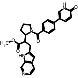 COC(=O)C(Cc1cc2ccncc2[nH]1)C1CCCN1C(=O)c1ccc(-c2ccc(=O)[nH]c2)cc1